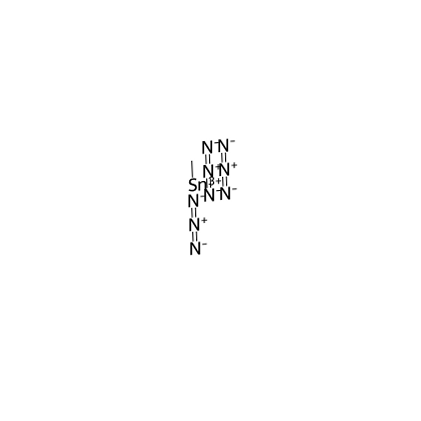 [CH3][Sn+3].[N-]=[N+]=[N-].[N-]=[N+]=[N-].[N-]=[N+]=[N-]